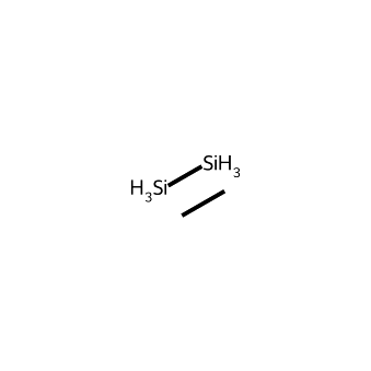 CC.[SiH3][SiH3]